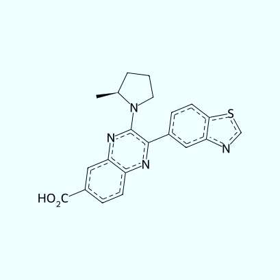 C[C@H]1CCCN1c1nc2cc(C(=O)O)ccc2nc1-c1ccc2scnc2c1